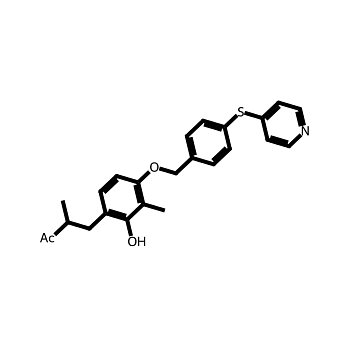 CC(=O)C(C)Cc1ccc(OCc2ccc(Sc3ccncc3)cc2)c(C)c1O